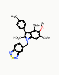 COc1ccc(-c2c(C(=O)O)n(Cc3ccc4nsnc4c3)c3cc(OC)c(OC(C)C)c(OC)c23)cc1